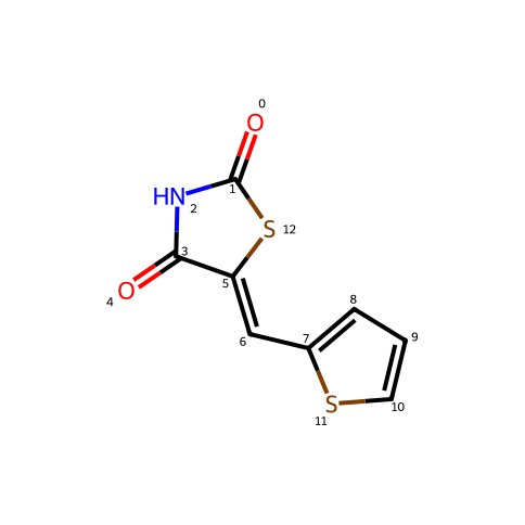 O=C1NC(=O)/C(=C/c2cccs2)S1